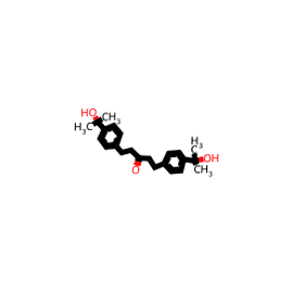 CC(C)(O)c1ccc(CCC(=O)CCc2ccc(C(C)(C)O)cc2)cc1